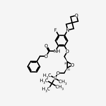 CC(C)(C)[Si](C)(C)OC[C@@H]1O[C@@H]1COc1cc(N2CC3(COC3)C2)c(F)cc1NC(=O)OCc1ccccc1